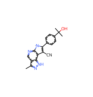 Cc1n[nH]c2c3c(ncc12)[N]C(c1ccc(C(C)(C)O)cc1)=C3C#N